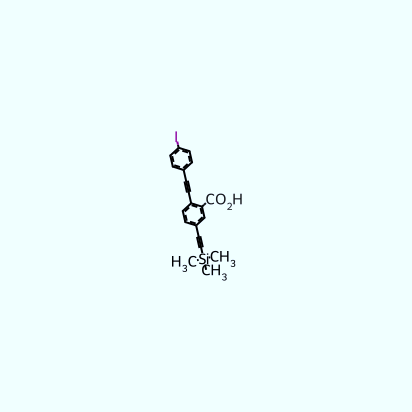 C[Si](C)(C)C#Cc1ccc(C#Cc2ccc(I)cc2)c(C(=O)O)c1